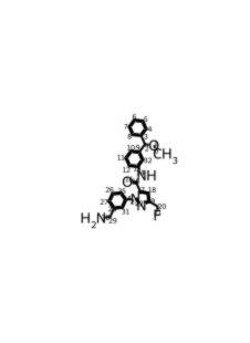 COC(c1ccccc1)c1cccc(NC(=O)c2cc(CF)nn2-c2cccc(CN)c2)c1